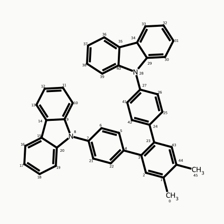 Cc1cc(-c2ccc(-n3c4ccccc4c4ccccc43)cc2)c(-c2ccc(-n3c4ccccc4c4ccccc43)cc2)cc1C